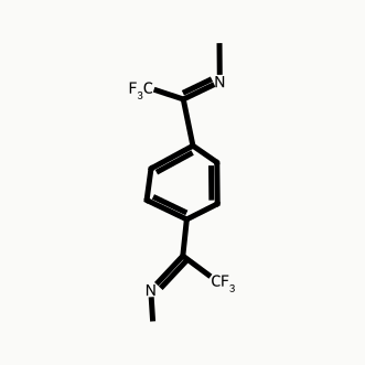 C/N=C(/c1ccc(/C(=N/C)C(F)(F)F)cc1)C(F)(F)F